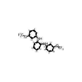 FC(F)(F)Oc1cccc(Nc2ccccc2Nc2cccc(OC(F)(F)F)c2)c1